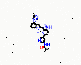 Cc1cn(-c2cccc3[nH]c(-c4n[nH]c5ccc(-c6cncc(NC(=O)C(C)C)c6)nc45)cc23)cn1